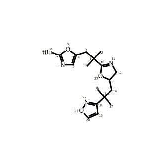 CC(C)(Cc1cnc(C(C)(C)C)o1)C1=NCC(CC(C)(C)c2ccon2)O1